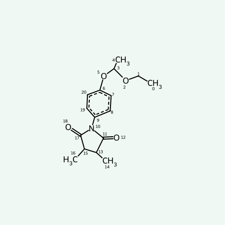 CCOC(C)Oc1ccc(N2C(=O)C(C)C(C)C2=O)cc1